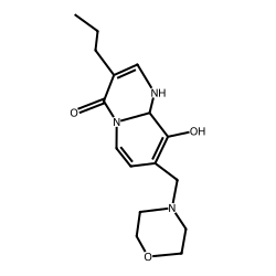 CCCC1=CNC2C(O)=C(CN3CCOCC3)C=CN2C1=O